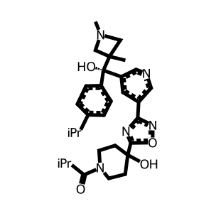 CC(C)C(=O)N1CCC(O)(c2nc(-c3cncc([C@@](O)(c4ccc(C(C)C)cc4)C4(C)CN(C)C4)c3)no2)CC1